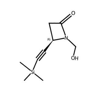 C[Si](C)(C)C#C[C@H]1CC(=O)N1CO